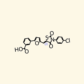 O=C(O)c1cccc(-c2ccc(/C=C3\SC(=O)N(c4ccc(Cl)cc4)C3=O)o2)c1